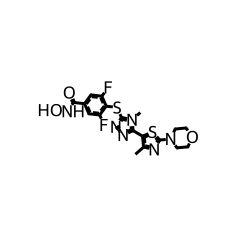 Cc1nc(N2CCOCC2)sc1-c1nnc(Sc2c(F)cc(C(=O)NO)cc2F)n1C